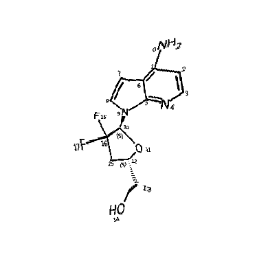 Nc1ccnc2c1ccn2[C@H]1O[C@H](CO)CC1(F)F